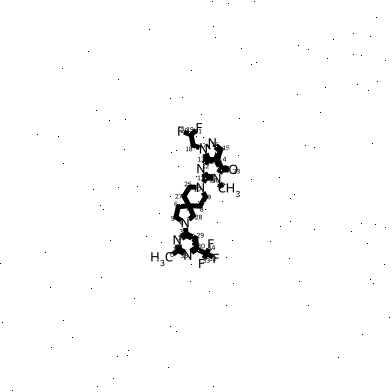 Cc1nc(N2CCC3(CCN(c4nc5c(cnn5CC(F)F)c(=O)n4C)CC3)C2)cc(C(F)(F)F)n1